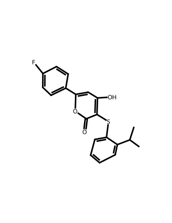 CC(C)c1ccccc1Sc1c(O)cc(-c2ccc(F)cc2)oc1=O